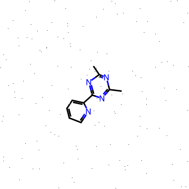 Cc1nc(C)nc(-c2ccccn2)n1